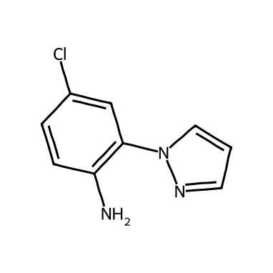 Nc1ccc(Cl)cc1-n1cccn1